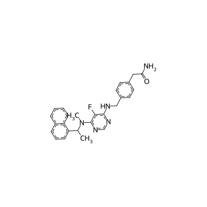 CC(c1cccc2ccccc12)N(C)c1ncnc(NCc2ccc(CC(N)=O)cc2)c1F